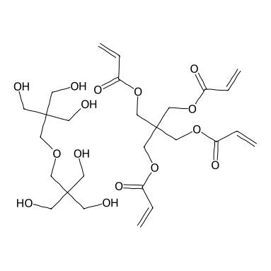 C=CC(=O)OCC(COC(=O)C=C)(COC(=O)C=C)COC(=O)C=C.OCC(CO)(CO)COCC(CO)(CO)CO